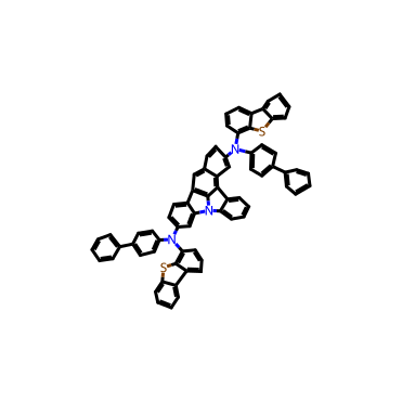 c1ccc(-c2ccc(N(c3ccc4cc5c6ccc(N(c7ccc(-c8ccccc8)cc7)c7cccc8c7sc7ccccc78)cc6n6c7ccccc7c(c4c3)c56)c3cccc4c3sc3ccccc34)cc2)cc1